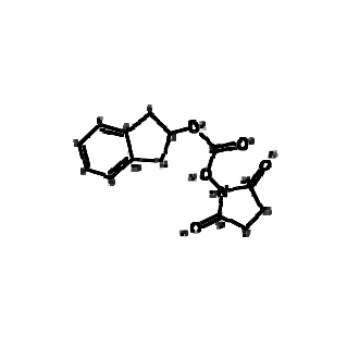 O=C(OC1Cc2ccccc2C1)ON1C(=O)CCC1=O